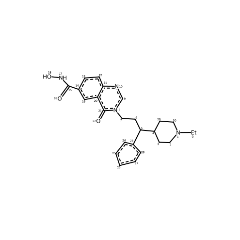 CCN1CCC(C(CCn2cnc3ccc(C(=O)NO)cc3c2=O)c2ccccc2)CC1